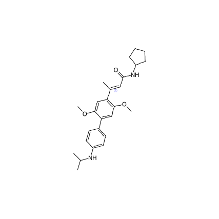 COc1cc(-c2ccc(NC(C)C)cc2)c(OC)cc1/C(C)=C/C(=O)NC1CCCC1